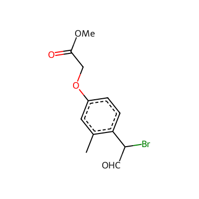 COC(=O)COc1ccc(C(Br)C=O)c(C)c1